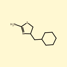 NC1=NC(CC2CCCCC2)CS1